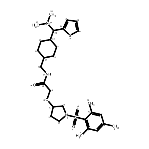 Cc1cc(C)c(S(=O)(=O)N2CCC(OCC(=O)NCC3CCC(C(c4cccs4)N(C)C)CC3)C2)c(C)c1